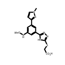 CONc1cc(-c2ccn(C)n2)cc(-c2nnc(SCC(=O)O)[nH]2)c1